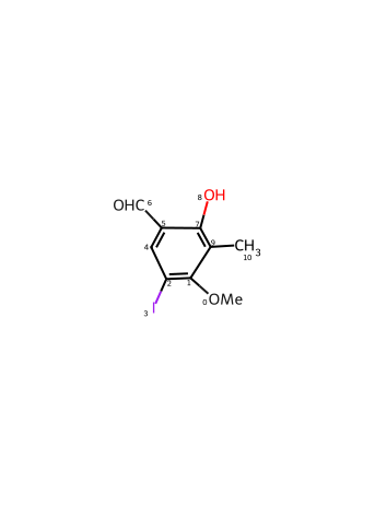 COc1c(I)cc(C=O)c(O)c1C